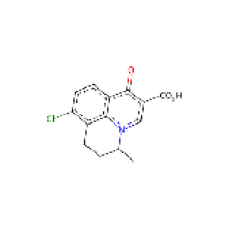 CC1CCc2c(Cl)ccc3c(=O)c(C(=O)O)cn1c23